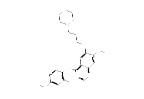 CNc1ccc(Nc2ncnc3cc(OC)c(OCCCN4CCOCC4)cc23)c(F)c1